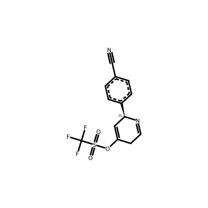 N#Cc1ccc([C@@H]2C=C(OS(=O)(=O)C(F)(F)F)CC=N2)cc1